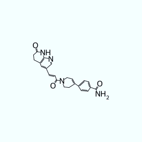 NC(=O)c1ccc(C2=CCN(C(=O)/C=C/c3cnc4c(c3)CCC(=O)N4)CC2)cc1